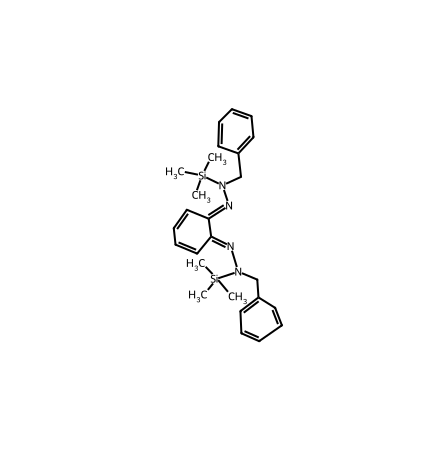 C[Si](C)(C)N(Cc1ccccc1)N=C1C=CC=CC1=NN(Cc1ccccc1)[Si](C)(C)C